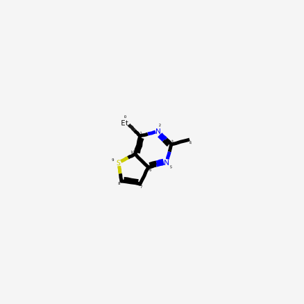 CCc1nc(C)nc2ccsc12